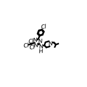 CC(C)CN1CCC(Nc2nc(-c3ccc(Cl)cc3)nc(C(Cl)(Cl)Cl)n2)CC1